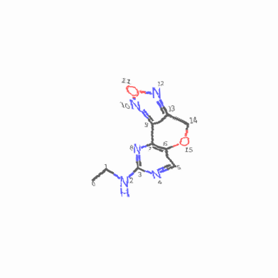 CCNc1ncc2c(n1)-c1nonc1CO2